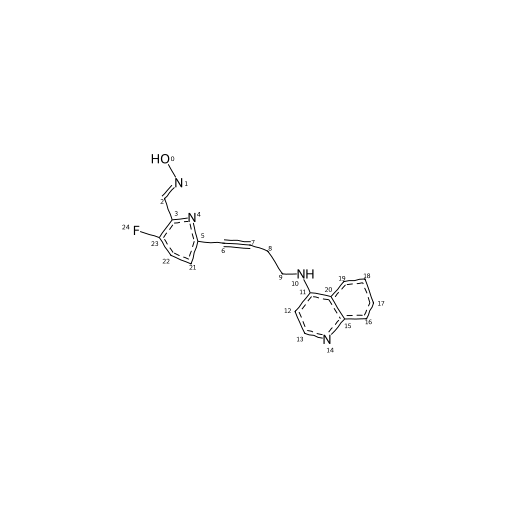 ON=Cc1nc(C#CCCNc2ccnc3ccccc23)ccc1F